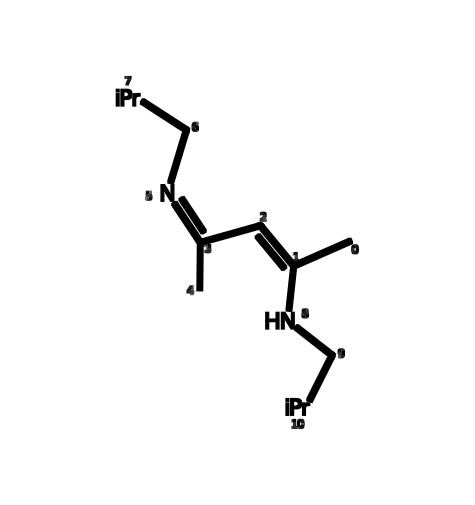 CC(=CC(C)=NCC(C)C)NCC(C)C